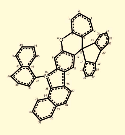 c1ccc2c(c1)Oc1cc3c(cc1C21c2ccccc2-c2ccccc21)c1ccc2ccccc2c1n3-c1cccc2ccccc12